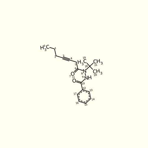 CCCC#CCC(=O)N(NC(=O)c1ccccc1)C(C)(C)C